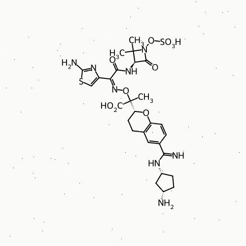 CC(O/N=C(\C(=O)N[C@@H]1C(=O)N(OS(=O)(=O)O)C1(C)C)c1csc(N)n1)(C(=O)O)[C@H]1CCc2cc(C(=N)N[C@@H]3CC[C@H](N)C3)ccc2O1